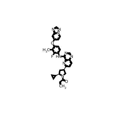 C=CC(=O)N1C[C@H](c2ccc3ncnc(Nc4ccc(Oc5ccn6ncnc6c5)c(C)c4F)c3n2)C[C@@H]1C1CC1